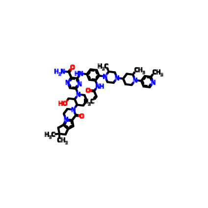 C=CC(=O)Nc1cc(Nc2nc(N3CCCC(N4CCn5c(cc6c5CC(C)(C)C6)C4=O)C3CO)cnc2C(N)=O)ccc1N1CCN(C2CCN(c3ccnc(C)c3)[C@H](C)C2)C[C@@H]1C